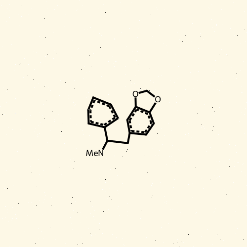 CNC(Cc1ccc2c(c1)OCO2)c1ccccc1